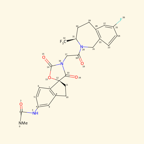 CNC(=O)Nc1ccc2c(c1)CC[C@]21OC(=O)N(CC(=O)N2Cc3ccc(F)cc3CC[C@@H]2C(F)(F)F)C1=O